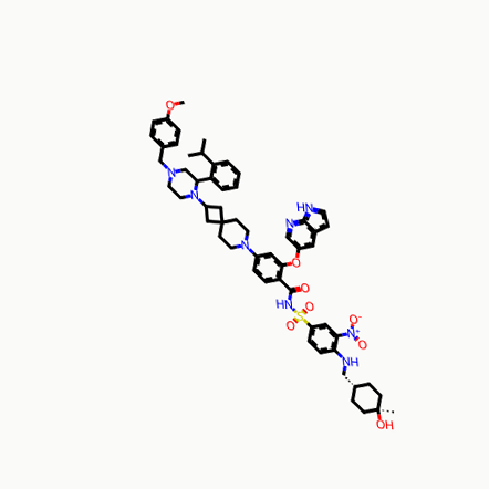 COc1ccc(CN2CCN(C3CC4(CCN(c5ccc(C(=O)NS(=O)(=O)c6ccc(NC[C@H]7CC[C@](C)(O)CC7)c([N+](=O)[O-])c6)c(Oc6cnc7[nH]ccc7c6)c5)CC4)C3)C(c3ccccc3C(C)C)C2)cc1